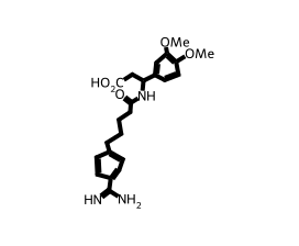 COc1ccc(C(CC(=O)O)NC(=O)CCCCc2ccc(C(=N)N)cc2)cc1OC